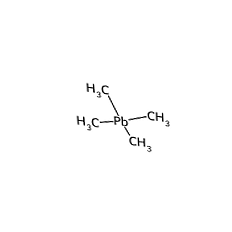 [CH3][Pb]([CH3])([CH3])[CH3]